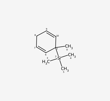 CC1([Si](C)(C)C)C=CCC=C1